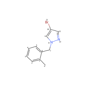 Cc1ccccc1Cn1cc(Br)cn1